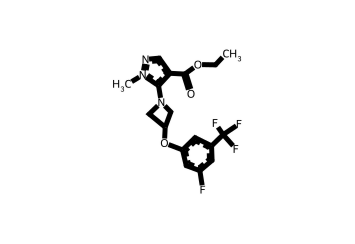 CCOC(=O)c1cnn(C)c1N1CC(Oc2cc(F)cc(C(F)(F)F)c2)C1